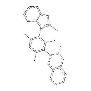 Cc1cc(C)c(-[n+]2c3ccccc3cn2C)c(C)c1-[n+]1cc2ccccc2cc1C